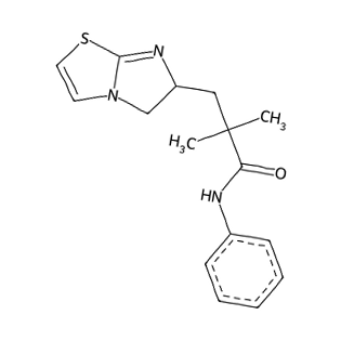 CC(C)(CC1CN2C=CSC2=N1)C(=O)Nc1ccccc1